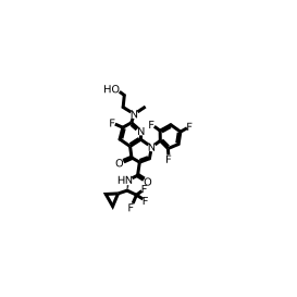 CN(CCO)c1nc2c(cc1F)c(=O)c(C(=O)N[C@@H](C1CC1)C(F)(F)F)cn2-c1c(F)cc(F)cc1F